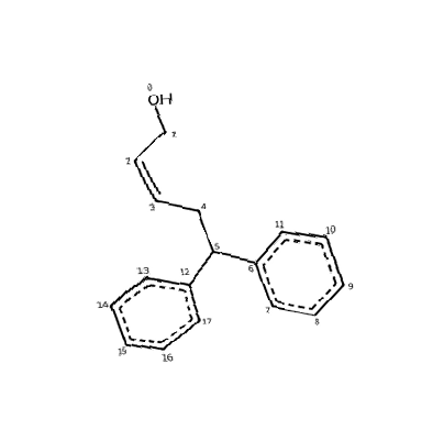 OC/C=C\CC(c1ccccc1)c1ccccc1